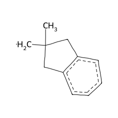 [CH2]C1(C)Cc2ccccc2C1